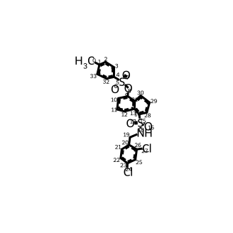 Cc1ccc(S(=O)(=O)Oc2cccc3c(S(=O)(=O)NCc4ccc(Cl)cc4Cl)cccc23)cc1